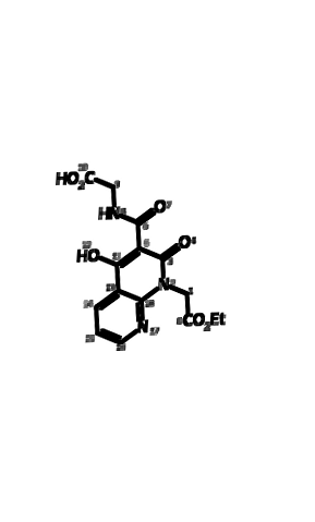 CCOC(=O)Cn1c(=O)c(C(=O)NCC(=O)O)c(O)c2cccnc21